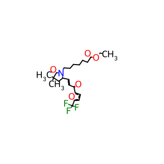 CCOC(=O)CCCCCCN1C(=O)C(C)(C)CC1C=CC(=O)c1ccc(C(F)(F)F)o1